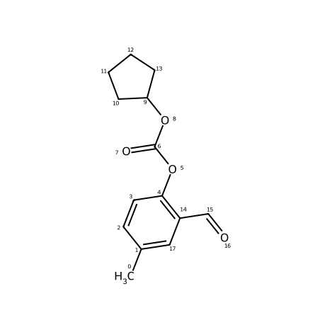 Cc1ccc(OC(=O)OC2CCCC2)c(C=O)c1